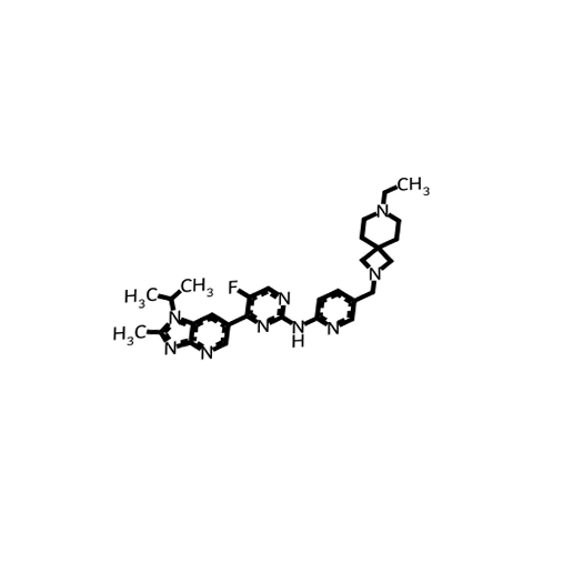 CCN1CCC2(CC1)CN(Cc1ccc(Nc3ncc(F)c(-c4cnc5nc(C)n(C(C)C)c5c4)n3)nc1)C2